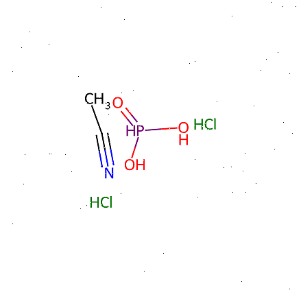 CC#N.Cl.Cl.O=[PH](O)O